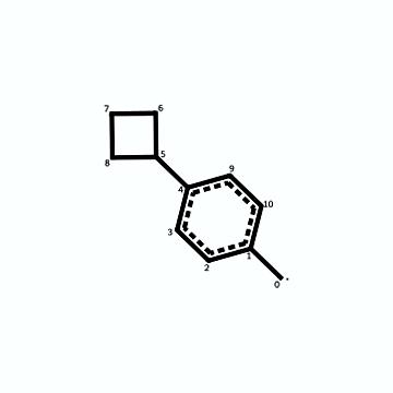 [CH2]c1ccc(C2CCC2)cc1